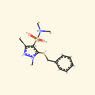 Cc1nn(C)c(SCc2ccccc2)c1S(=O)(=O)N(C)C